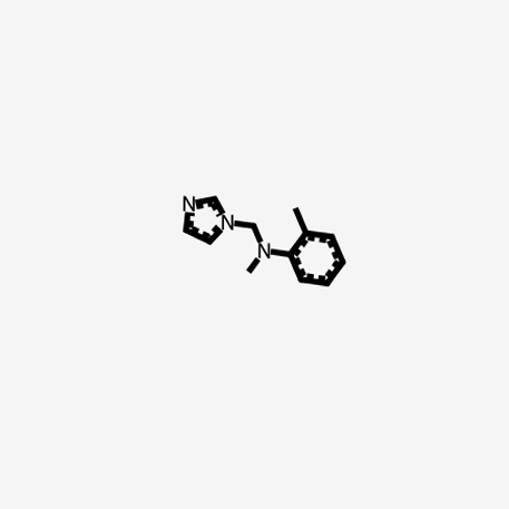 Cc1ccccc1N(C)Cn1ccnc1